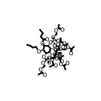 CCCCO[C@H]1[C@@H](OC(=O)CCC)[C@@H](OP(=O)(OCOC(C)=O)OCOC(C)=O)[C@H](OP(=O)(OCOC(C)=O)OCOC(C)=O)[C@@H](OP(=O)(OCOC(C)=O)OCOC(C)=O)[C@@H]1OP(=O)(OCOC(C)=O)OCOC(C)=O